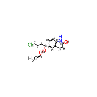 C=COOC(CCCCl)c1ccc2c(c1)CCC(=O)N2